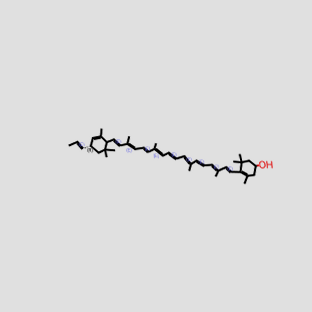 C/C=C/[C@@H]1C=C(C)C(/C=C/C(C)=C/C=C/C(C)=C/C=C/C=C(C)/C=C/C=C(C)/C=C/C2=C(C)CC(O)CC2(C)C)C(C)(C)C1